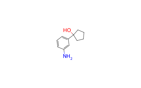 Nc1cccc(C2(O)CCCC2)c1